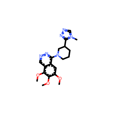 COc1cc2c(N3CCCC(c4nncn4C)C3)nncc2c(OC)c1OC